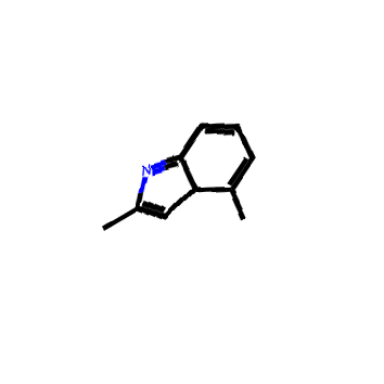 CC1=CC2C(C)=CC=CC2=N1